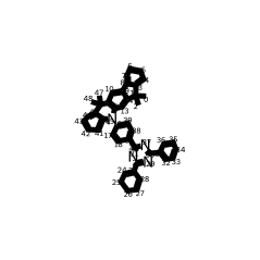 CC1(C)c2ccccc2-c2cc3c(cc21)N(c1ccc(-c2nc(C4=CCCC=C4)nc(-c4ccccc4)n2)cc1)c1ccccc1C3(C)C